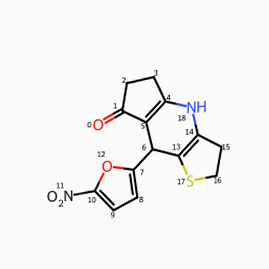 O=C1CCC2=C1C(c1ccc([N+](=O)[O-])o1)C1=C(CCS1)N2